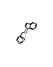 c1ccc2c(c1)ccn2OCc1ccncn1